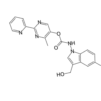 Cc1nc(-c2ccccn2)ncc1OC(=O)Nn1cc(CO)c2cc(F)ccc21